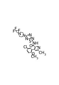 COc1ccc(Cl)cc1-c1cc(C)ncc1C(=O)Nc1nc2ncc(N3CCN(CC(F)(F)F)CC3)nc2s1